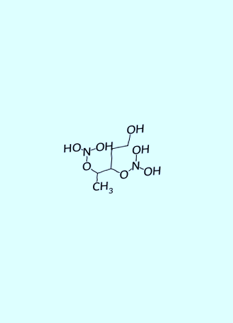 CC(ON(O)O)C(CCO)ON(O)O